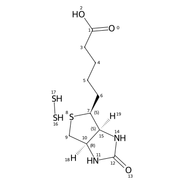 O=C(O)CCCC[C@@H]1SC[C@@H]2NC(=O)N[C@@H]21.SS